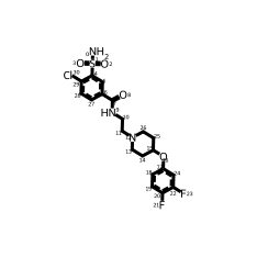 NS(=O)(=O)c1cc(C(=O)NCCN2CCC(Oc3ccc(F)c(F)c3)CC2)ccc1Cl